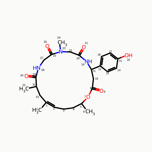 CC1=CCCC(C)OC(=O)CC(c2ccc(O)cc2)NC(=O)CN(C)C(=O)CNC(=O)C(C)C1